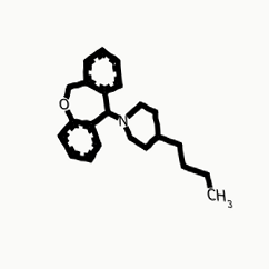 CCCCC1CCN(C2c3ccccc3COc3ccccc32)CC1